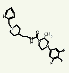 C[C@@H]1CN(c2cc(F)c(F)c(F)c2)CCN1C(=O)NCCC1CCN(Cc2ccccn2)CC1